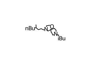 CCCCC(C)CCCN1CCOC2(CCN(CC(C)CC)CC2)C1